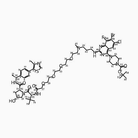 Cc1ncsc1-c1ccc([C@H](C)NC(=O)[C@@H]2C[C@@H](O)CN2C(=O)[C@@H](NC(=O)COCCOCCOCCOCCN(C)CCCNc2nc(N3CCN(C(=O)OC(C)(C)C)CC3)c3cc(Cl)c(Br)c(F)c3n2)C(C)(C)C)cc1